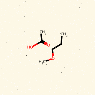 CC(=O)O.CCCOC